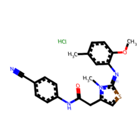 COc1ccc(C)cc1/N=c1/scc(CC(=O)Nc2ccc(C#N)cc2)n1C.Cl